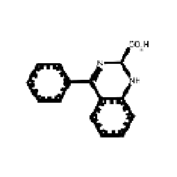 O=C(O)C1N=C(c2ccccc2)c2ccccc2N1